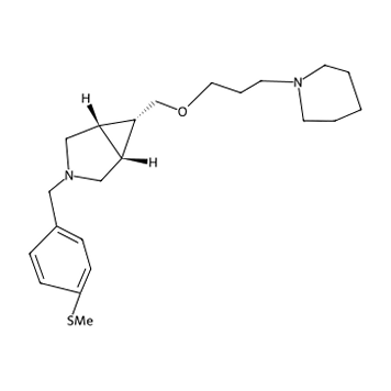 CSc1ccc(CN2C[C@@H]3[C@H](COCCCN4CCCCC4)[C@@H]3C2)cc1